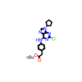 CCCCOC(=O)Cc1ccc(Nc2nc(Cl)nc3c2ncn3C2CCCC2)cc1